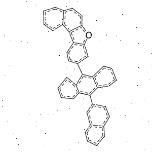 c1ccc2cc(-c3c4ccccc4c(-c4ccc5c(c4)oc4ccc6ccccc6c45)c4ccccc34)ccc2c1